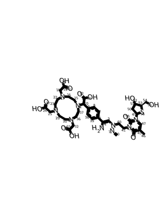 C=NN(/C=C(\N)c1ccc(C(C(=O)O)N2CCN(CC(=O)O)CCN(CC(=O)O)CCN(CC(=O)O)CC2)cc1)CCn1c(=O)c(C)cn(C2CC(O)[C@@H](CO)S2)c1=O